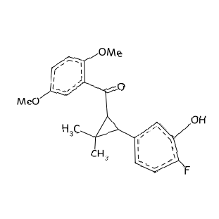 COc1ccc(OC)c(C(=O)C2C(c3ccc(F)c(O)c3)C2(C)C)c1